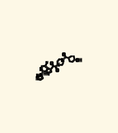 O=C(C(=O)N1CCN(C(=O)C2CCC(O)CC2)CC1)c1c[nH]c2c(-n3ccnn3)ncc(F)c12